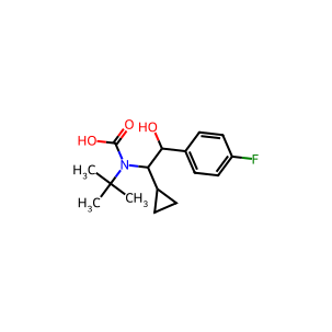 CC(C)(C)N(C(=O)O)C(C1CC1)C(O)c1ccc(F)cc1